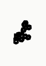 CCC1CC2CCCC(C2)C12c1ccccc1-c1c(N(c3ccc4c(c3)-c3ccccc3C43C4CC5CC(C4)CC3C5)c3ccc4ccccc4c3)cccc12